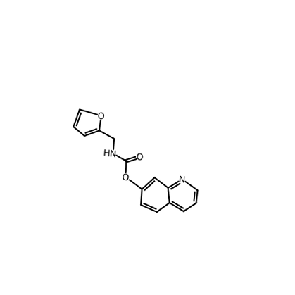 O=C(NCc1ccco1)Oc1ccc2cccnc2c1